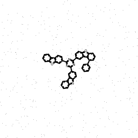 c1ccc(-c2cccc3oc4ccc(-c5nc(-c6ccc7c(c6)oc6ccccc67)nc(-c6ccc7sc8ccccc8c7c6)n5)cc4c23)cc1